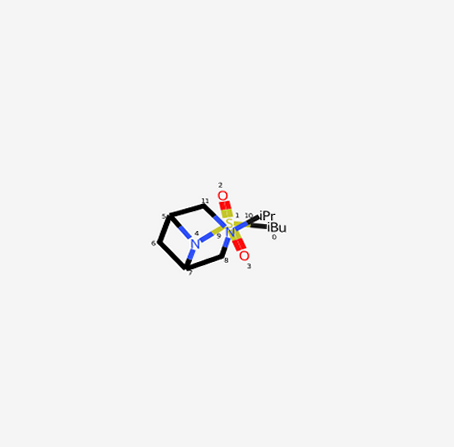 CCC(C)S(=O)(=O)N1C2CC1CN(C(C)C)C2